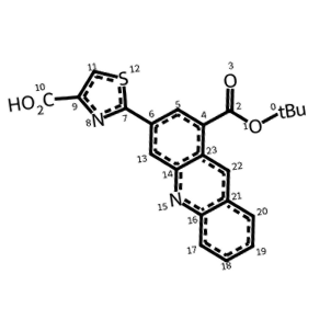 CC(C)(C)OC(=O)c1cc(-c2nc(C(=O)O)cs2)cc2nc3ccccc3cc12